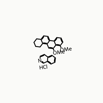 COc1cccc2c1c(OC)cc1c3c(ccc12)CCCC3.Cl.c1ccc2cnccc2c1